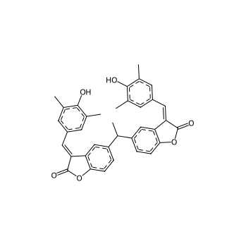 Cc1cc(/C=C2/C(=O)Oc3ccc(C(C)c4ccc5c(c4)/C(=C\c4cc(C)c(O)c(C)c4)C(=O)O5)cc32)cc(C)c1O